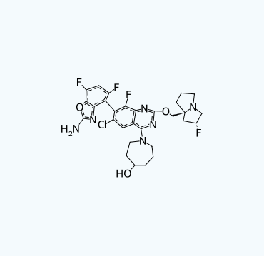 Nc1nc2c(-c3c(Cl)cc4c(N5CCCC(O)CC5)nc(OC[C@@]56CCCN5C[C@H](F)C6)nc4c3F)c(F)cc(F)c2o1